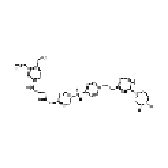 CC1CN(c2nccc(CCc3ccc(C(C)(C)c4ccc(CC5CC(Nc6ccc(C=O)c(C=O)c6)C5)cc4)cc3)n2)CCN1C